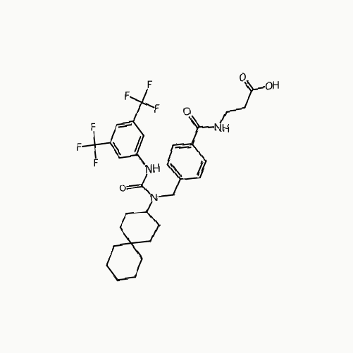 O=C(O)CCNC(=O)c1ccc(CN(C(=O)Nc2cc(C(F)(F)F)cc(C(F)(F)F)c2)C2CCC3(CCCCC3)CC2)cc1